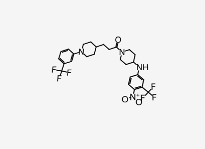 O=C(CCC1CCN(c2cccc(C(F)(F)F)c2)CC1)N1CCC(Nc2ccc([N+](=O)[O-])c(C(F)(F)F)c2)CC1